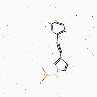 IP(I)Sn1ccc(C#Cc2ccccn2)c1